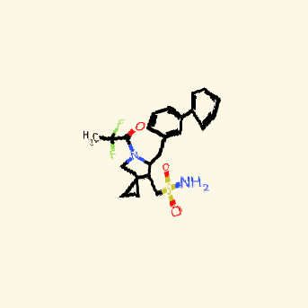 CC(F)(F)C(=O)N1CC2(CC2)C(CS(N)(=O)=O)C1Cc1cccc(-c2ccccc2)c1